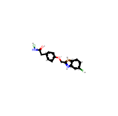 O=C(Cc1ccc(OCc2nc3cc(F)ccc3s2)cc1)NCl